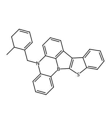 CC1CC=CC=C1CN1c2ccccc2B2c3sc4ccccc4c3-c3cccc1c32